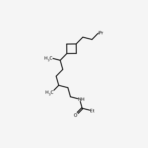 CCC(=O)NCCC(C)CCC(C)C1CC(CCC(C)C)C1